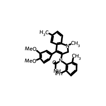 COc1ccc(C2=C(N(C(N)=O)c3c(C)cccc3C(C)C)CN(C)c3ccc(C)cc32)cc1OC